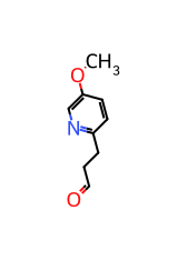 COc1ccc(CCC=O)nc1